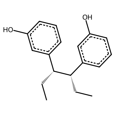 CC[C@H](c1cccc(O)c1)[C@@H](CC)c1cccc(O)c1